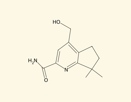 CC1(C)CCc2c(CO)cc(C(N)=O)nc21